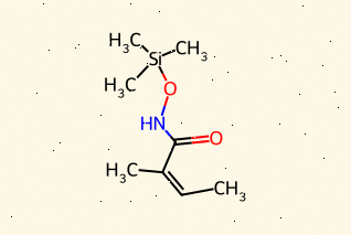 CC=C(C)C(=O)NO[Si](C)(C)C